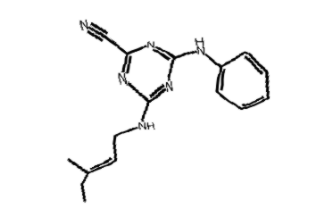 CC(C)=CCNc1nc(C#N)nc(Nc2ccccc2)n1